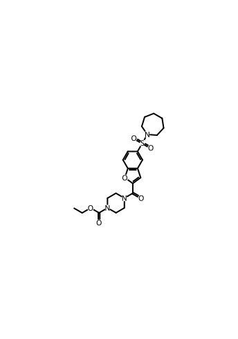 CCOC(=O)N1CCN(C(=O)c2cc3cc(S(=O)(=O)N4CCCCCC4)ccc3o2)CC1